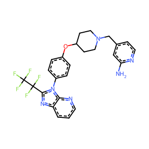 Nc1cc(CN2CCC(Oc3ccc(-n4c(C(F)(F)C(F)(F)F)nc5cccnc54)cc3)CC2)ccn1